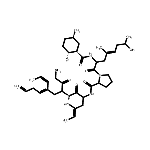 C=CC/C=C(\C=C/C)CC(NC(=O)C(C/C(=C/C)CCC)NC(=O)C1CCCN1C(=O)C(C/C(C)=C/CC(C)O)NC(=O)[C@@H]1C[C@H](C)CC[C@H]1C(C)C)C(=O)CN